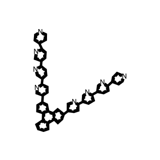 c1ccc2c(c1)c1ccc(-c3ccc(-c4ccc(-c5ccc(-c6ccncc6)nc5)nc4)nc3)cc1c1cc(-c3ccc(-c4ccc(-c5ccc(-c6ccncc6)nc5)nc4)nc3)ccc21